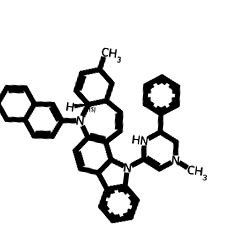 CC1C=C[C@@H]2C(C=CC3=C(C=CC4c5ccccc5N(C5=CN(C)CC(c6ccccc6)N5)C34)N2C2=CC3C=CCCC3C=C2)C1